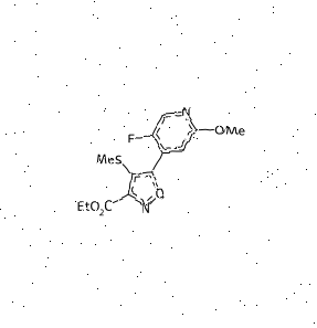 CCOC(=O)c1noc(-c2cc(OC)ncc2F)c1SC